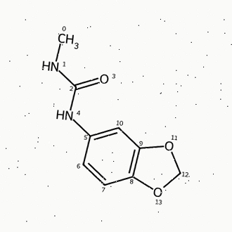 CNC(=O)Nc1ccc2c(c1)OCO2